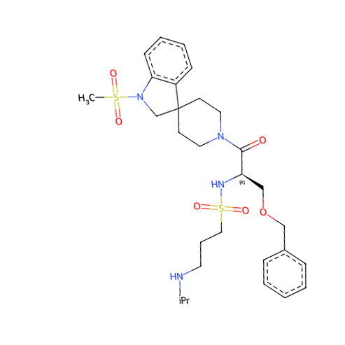 CC(C)NCCCS(=O)(=O)N[C@H](COCc1ccccc1)C(=O)N1CCC2(CC1)CN(S(C)(=O)=O)c1ccccc12